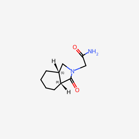 NC(=O)CN1C[C@H]2CCCC[C@H]2C1=O